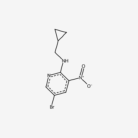 O=[N+]([O-])c1cc(Br)cnc1NCC1CC1